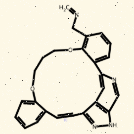 C=NCc1cccc2c1OCCCOc1ccccc1/C=C/c1n[nH]c3cnc-2cc13